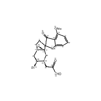 CC[C@H]1CN2CCC3(Nc4cccc(OC)c4C3=O)[C@@H]2C[C@H]1CC(=O)C=O